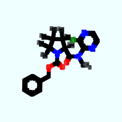 [2H]C1([2H])N(C(=O)OCc2ccccc2)[C@]([2H])(C(=O)N(C)c2nccnc2Cl)C([2H])([2H])C1([2H])[2H]